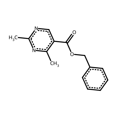 Cc1ncc(C(=O)OCc2ccccc2)c(C)n1